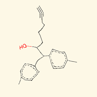 C#CCCCC(O)C(c1ccc(C)cc1)c1ccc(C)cc1